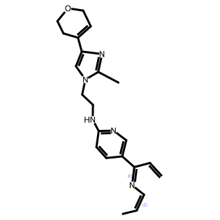 C=C/C(=N\C=C/C)c1ccc(NCCn2cc(C3=CCOCC3)nc2C)nc1